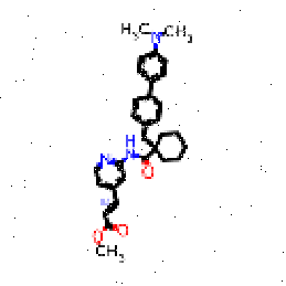 COC(=O)/C=C/c1ccnc(NC(=O)C2(Cc3ccc(-c4ccc(N(C)C)cc4)cc3)CCCCC2)c1